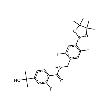 Cc1cc(CNC(=O)c2ccc(C(C)(C)O)cc2F)c(F)cc1B1OC(C)(C)C(C)(C)O1